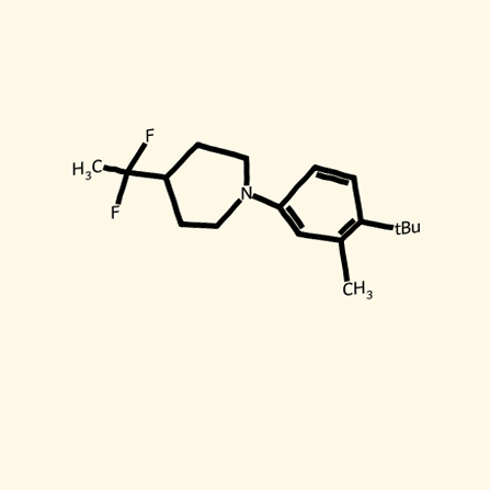 Cc1cc(N2CCC(C(C)(F)F)CC2)ccc1C(C)(C)C